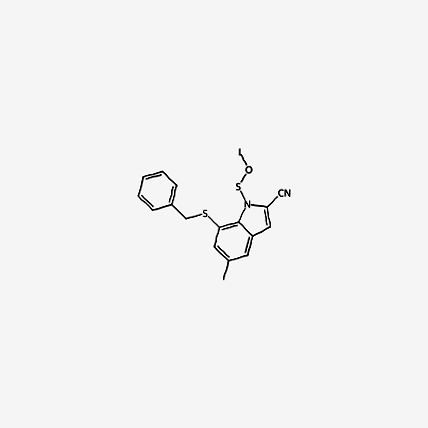 Cc1cc(SCc2ccccc2)c2c(c1)cc(C#N)n2SOI